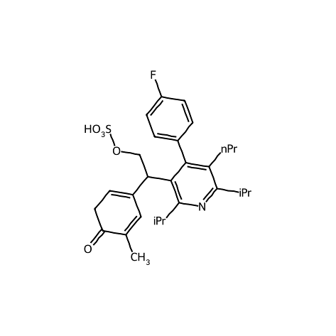 CCCc1c(C(C)C)nc(C(C)C)c(C(COS(=O)(=O)O)C2=CCC(=O)C(C)=C2)c1-c1ccc(F)cc1